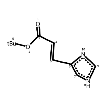 CC(C)(C)OC(=O)C=Cc1c[nH]cn1